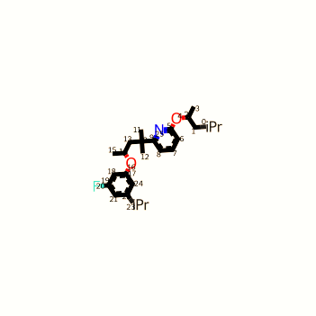 CC(C)CC(C)Oc1cccc(C(C)(C)CC(C)Oc2cc(F)cc(C(C)C)c2)n1